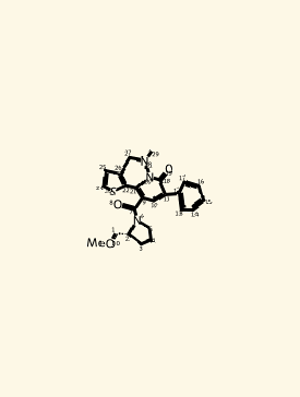 COC[C@H]1CCCN1C(=O)c1cc(-c2ccccc2)c(=O)n2c1-c1sccc1CN2C